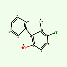 CCc1c(Cl)ccc(O)c1-c1ccccc1